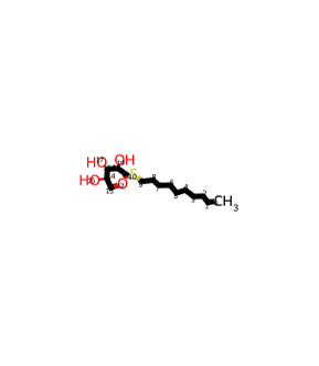 CCCCCCCCCCS[C@@H]1OC[C@@H](O)[C@H](O)[C@H]1O